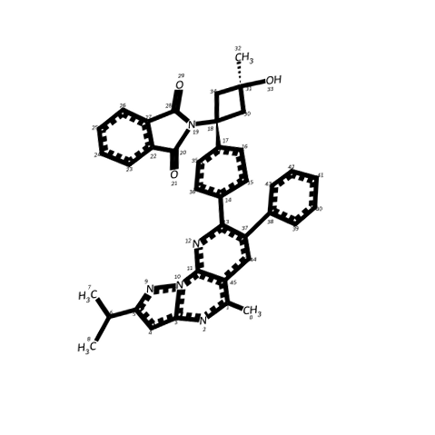 Cc1nc2cc(C(C)C)nn2c2nc(-c3ccc([C@]4(N5C(=O)c6ccccc6C5=O)C[C@](C)(O)C4)cc3)c(-c3ccccc3)cc12